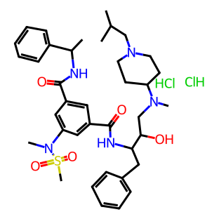 CC(C)CN1CCC(N(C)CC(O)C(Cc2ccccc2)NC(=O)c2cc(C(=O)NC(C)c3ccccc3)cc(N(C)S(C)(=O)=O)c2)CC1.Cl.Cl